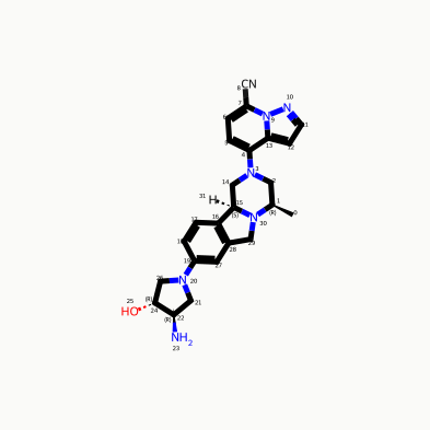 C[C@@H]1CN(c2ccc(C#N)n3nccc23)C[C@@H]2c3ccc(N4C[C@@H](N)[C@H](O)C4)cc3CN12